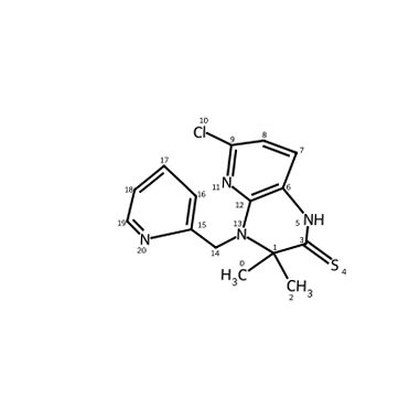 CC1(C)C(=S)Nc2ccc(Cl)nc2N1Cc1ccccn1